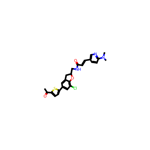 CC(=O)c1ccc(-c2cc(Cl)c3c(c2)CC(CNC(=O)C=Cc2ccc(N(C)C)nc2)O3)s1